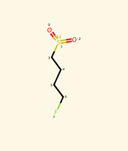 O=[SH](=O)CCCCF